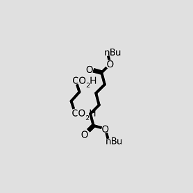 CCCCOC(=O)CCCCC(=O)OCCCC.O=C(O)CCC(=O)O